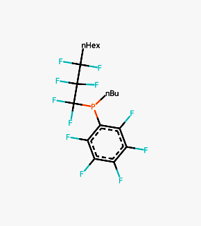 CCCCCCC(F)(F)C(F)(F)C(F)(F)P(CCCC)c1c(F)c(F)c(F)c(F)c1F